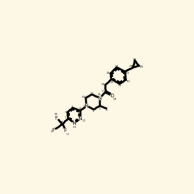 CC1CN(c2ccc(C(F)(F)F)nn2)CCN1C(=O)Cc1ccc(C2CC2)cc1